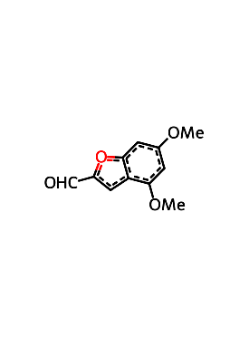 COc1cc(OC)c2cc(C=O)oc2c1